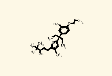 CCCOc1ccc(C(CC)(CC)c2cc(C)c(CCC(O)C(C)(C)C)s2)cc1C